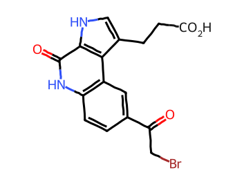 O=C(O)CCc1c[nH]c2c(=O)[nH]c3ccc(C(=O)CBr)cc3c12